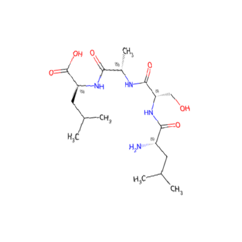 CC(C)C[C@H](NC(=O)[C@H](C)NC(=O)[C@H](CO)NC(=O)[C@@H](N)CC(C)C)C(=O)O